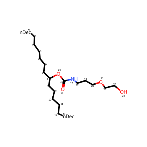 CCCCCCCCCCCCCCCCC(CCCCCCCCCCCCCCC)OC(=O)NCCCOCCO